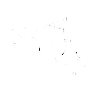 N#C[C@H](C[C@H]1CCNC1=O)NC(=O)[C@@H]1[C@@H]2CC[C@@H](CC2(F)F)N1C(=O)[C@@H](CC1CCC1)NC(=O)C(F)(F)F